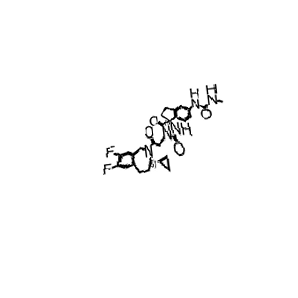 CNC(=O)Nc1ccc2c(c1)CC[C@]21NC(=O)N(CC(=O)N2Cc3cc(F)c(F)cc3CC[C@H]2C2CC2)C1=O